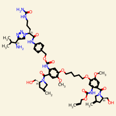 C=CCOC(=O)Nc1cc(OCCCCCOc2cc(NC(=O)OCc3ccc(NC(=O)[C@H](CCCNC(N)=O)n4cc([C@@H](N)C(C)C)nn4)cc3)c(C(=O)N3CC(=C)C[C@@H]3CO)cc2OC)c(OC)cc1C(=O)N1CC(=C)C[C@@H]1CO